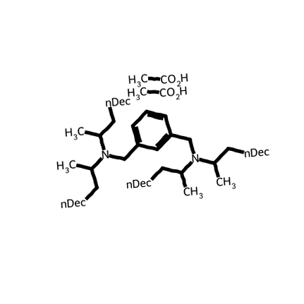 CC(=O)O.CC(=O)O.CCCCCCCCCCCC(C)N(Cc1cccc(CN(C(C)CCCCCCCCCCC)C(C)CCCCCCCCCCC)c1)C(C)CCCCCCCCCCC